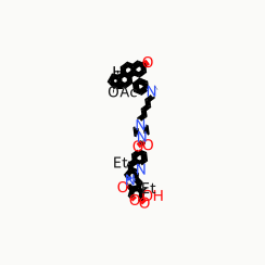 CCc1c2c(nc3ccc(OC(=O)N4CCN(CCCCCCN(C)c5ccc([C@H]6CC7(C)[C@H](OC(C)=O)CC[C@H]7C7CCC8=CC(=O)CCC8=C76)cc5)CC4)cc13)-c1cc3c(c(=O)n1C2)COC(=O)[C@]3(O)CC